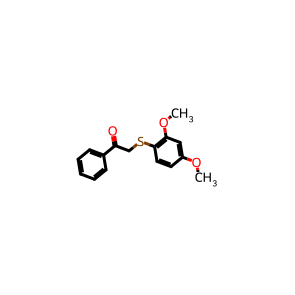 COc1ccc(SCC(=O)c2ccccc2)c(OC)c1